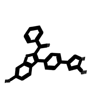 O=C(c1ccccc1)c1sc2cc(O)ccc2c1-c1ccc(-c2c[nH]c(O)c2)cc1